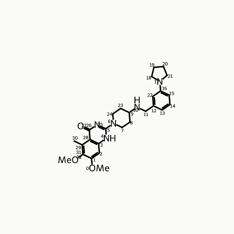 COc1cc2[nH]c(N3CCC(NCc4cccc(N5CCCC5)c4)CC3)nc(=O)c2c(C)c1OC